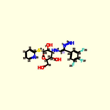 N=N/C(=C\NC1C(O)[C@@H](Sc2ccccn2)OC(CO)[C@@H]1O)c1cc(F)c(F)c(F)c1